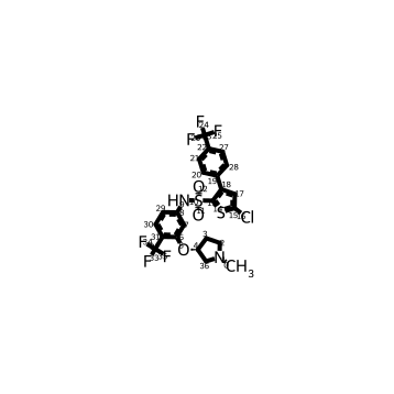 CN1CC[C@@H](Oc2cc(NS(=O)(=O)c3sc(Cl)cc3-c3ccc(C(F)(F)F)cc3)ccc2C(F)(F)F)C1